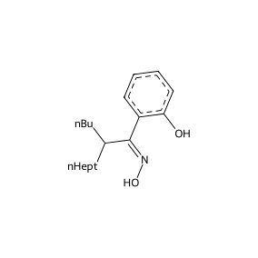 CCCCCCCC(CCCC)C(=NO)c1ccccc1O